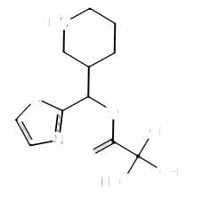 CC(C)(C)C(=O)OC(c1nccs1)C1CCCNC1